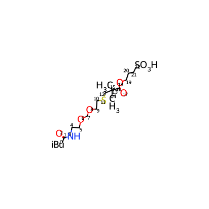 CCC(C)C(=O)NCCOCOCCSCC(C)(C)C(=O)OCCCS(=O)(=O)O